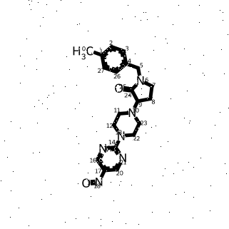 Cc1ccc(CN2CCC(N3CCN(c4ncc(N=O)cn4)CC3)C2=O)cc1